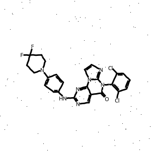 O=c1c2cnc(Nc3ccc(N4CCC(F)(F)CC4)cc3)nc2n2ccnc2n1-c1c(Cl)cccc1Cl